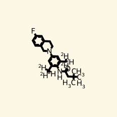 [2H]C([2H])([2H])c1cc(N2CCc3cc(F)ccc3C2)cc(C([2H])([2H])[2H])c1NC(=O)CC(C)(C)C